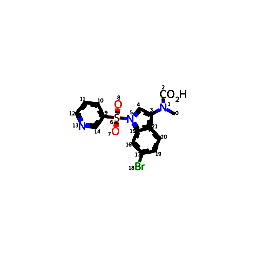 CN(C(=O)O)c1cn(S(=O)(=O)c2cccnc2)c2cc(Br)ccc12